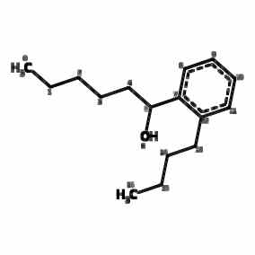 CCCCCC(O)c1ccccc1CCCC